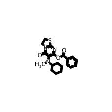 CN(c1c(OC(=O)c2ccccc2)nc2n(c1=O)CCS2)C1CCCCC1